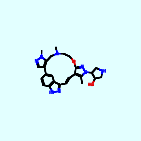 Cc1c2c(nn1C1CNCC1O)OCCN(C)Cc1c(cnn1C)-c1ccc3[nH]nc(c3c1)/C=C/2